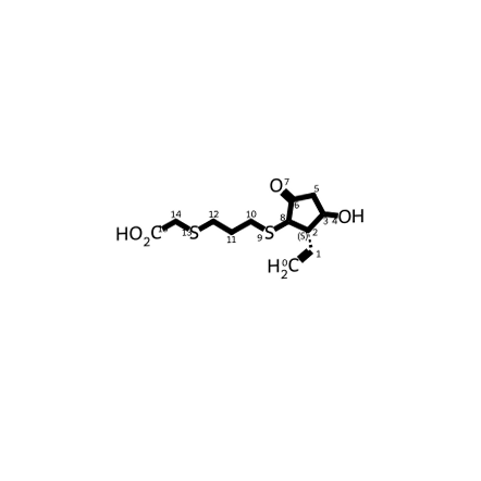 C=C[C@H]1C(O)CC(=O)C1SCCCSCC(=O)O